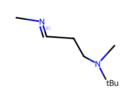 C/N=C/CCN(C)C(C)(C)C